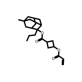 C=CC(=O)OC1CC(C(=O)OC2(CCC)C3CC4CC2CC(C)(C4)C3)C1